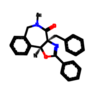 CC(=O)N1Cc2ccccc2[C@@H]2OC(c3ccccc3)=N[C@]2(Cc2ccccc2)C1=O